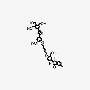 COc1ccc(-c2cc(-c3cc(CO)c(CO)c(CO)c3)no2)cc1OCCCCCCOc1ccc(C2NC(=O)c3cc(C)ccc3N2)cc1CO